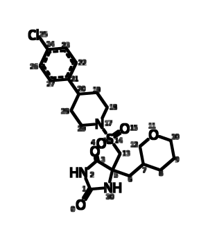 O=C1NC(=O)C(CC2CCCOC2)(CS(=O)(=O)N2CCC(c3ccc(Cl)cc3)CC2)N1